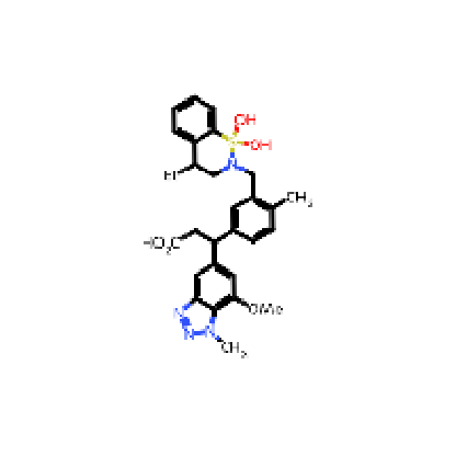 CCC1CN(Cc2cc(C(CC(=O)O)c3cc(OC)c4c(c3)nnn4C)ccc2C)S(O)(O)c2ccccc21